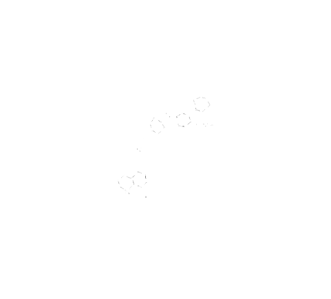 COc1ccc(Nc2ccc(CCNCC(O)c3ccc(O)c4c3ccc[n+]4[O-])cc2)cc1-c1ccccc1